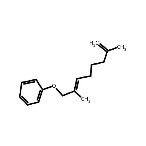 C=C(C)CCCC=C(C)COc1ccccc1